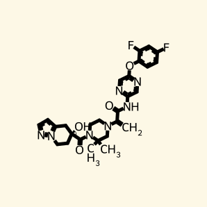 C=C(C(=O)Nc1cnc(Oc2ccc(F)cc2F)cn1)N1CCN(C(=O)[C@]2(O)CCn3nccc3C2)C(C)(C)C1